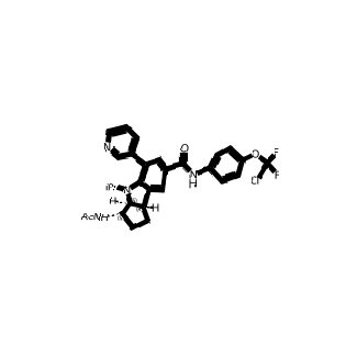 CC(=O)N[C@H]1CC[C@@H]2c3cc(C(=O)Nc4ccc(OC(F)(F)Cl)cc4)cc(-c4cccnc4)c3N(C(C)C)[C@H]12